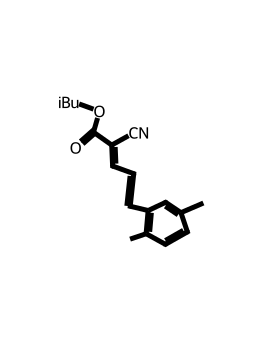 CCC(C)OC(=O)/C(C#N)=C/C=C/c1cc(C)ccc1C